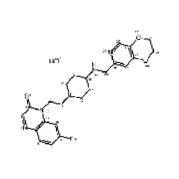 Cl.O=c1cnc2ccc(F)cc2n1CCN1CCC(NCc2cc3c(cn2)OCCO3)CC1